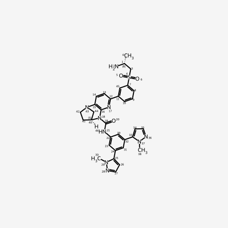 C[C@@H](N)CS(=O)(=O)c1cccc(-c2ccc3c(n2)N(C(=O)Nc2cc(-c4ccnn4C)cc(-c4ccnn4C)c2)[C@H]2CCN3C2)c1